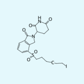 O=C1CCC(N2Cc3c(cccc3S(=O)(=O)CCCCCCI)C2=O)C(=O)N1